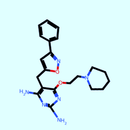 Nc1nc(N)c(Cc2cc(-c3ccccc3)no2)c(OCCN2CCCCC2)n1